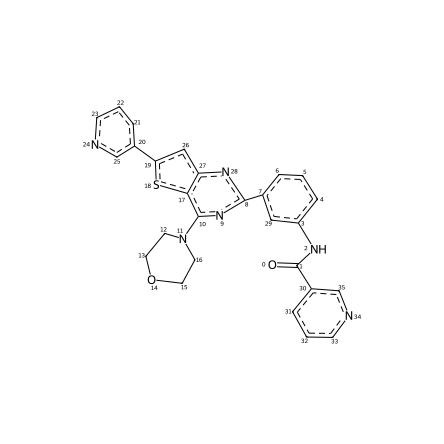 O=C(Nc1cccc(-c2nc(N3CCOCC3)c3sc(-c4cccnc4)cc3n2)c1)c1cccnc1